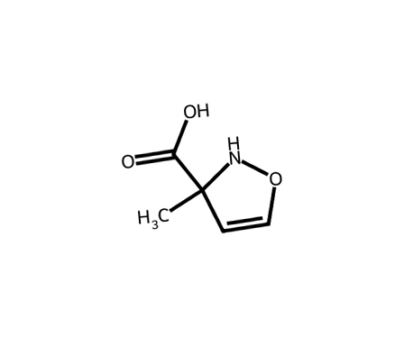 CC1(C(=O)O)C=CON1